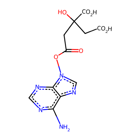 Nc1ncnc2c1ncn2OC(=O)CC(O)(CC(=O)O)C(=O)O